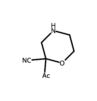 CC(=O)C1(C#N)CNCCO1